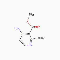 CC(=O)Nc1nccc(N)c1C(=O)OC(C)(C)C